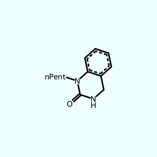 CCCCCN1C(=O)NCc2ccccc21